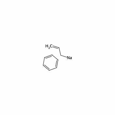 C=C[CH2][Na].c1ccccc1